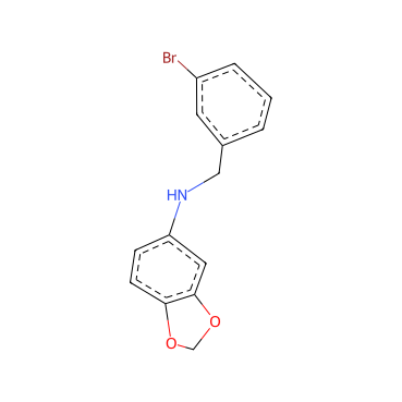 Brc1cccc(CNc2ccc3c(c2)OCO3)c1